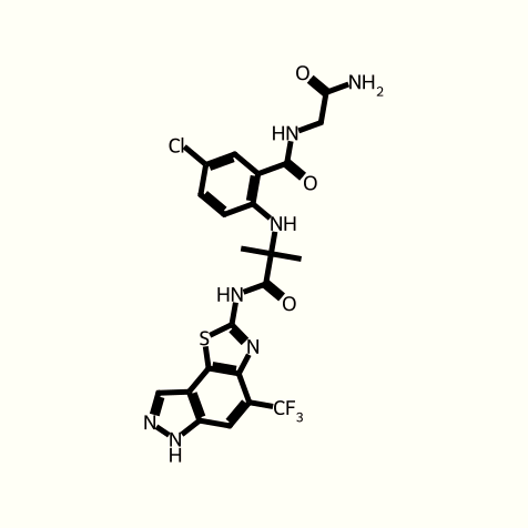 CC(C)(Nc1ccc(Cl)cc1C(=O)NCC(N)=O)C(=O)Nc1nc2c(C(F)(F)F)cc3[nH]ncc3c2s1